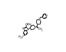 C=C(C1CCN(Cc2ccnnc2)CC1)N1CCC(n2c(OC)nc3cc(C)ccc32)CC1